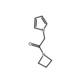 O=C(Cn1cccc1)N1CCC1